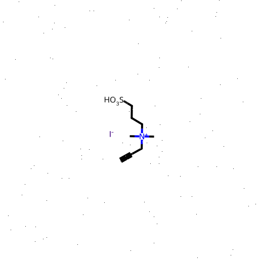 C#CC[N+](C)(C)CCCS(=O)(=O)O.[I-]